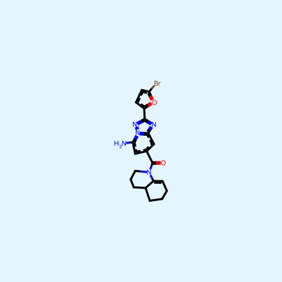 Nc1cc(C(=O)N2CCCC3CCCC=C32)cc2nc(-c3ccc(Br)o3)nn12